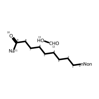 CCCCCCCCCCCCCCCCC[C](=O)[Na].O=CO